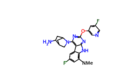 CNc1cc(F)cc2c1[nH]c1nc(Oc3cncc(F)c3)nc(N3CC4CC3CC4N)c12